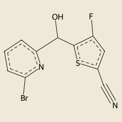 N#Cc1cc(F)c(C(O)c2cccc(Br)n2)s1